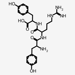 N=C(N)NCCCC(NC(=O)C(N)Cc1ccc(O)cc1)C(=O)NC(Cc1ccc(O)cc1)C(=O)O